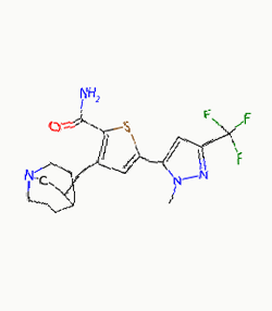 Cn1nc(C(F)(F)F)cc1-c1cc(C2CN3CCC2CC3)c(C(N)=O)s1